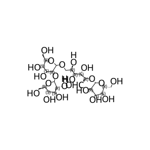 O=C[C@H](OC1O[C@H](CO)[C@@H](O)[C@H](O)[C@H]1O)[C@@H](O)[C@H](O)[C@H](O)COC1O[C@H](CO)[C@@H](O)[C@H](O)[C@H]1OC1O[C@H](CO)[C@@H](O)[C@H](O)[C@H]1O